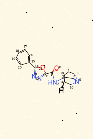 O=C(N[C@H]1CN2CCC1CC2)c1nnc(-c2ccccc2)o1